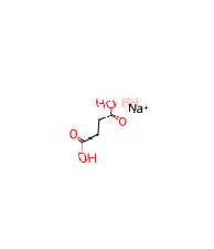 O=C(O)CCC(=O)O.[BH4-].[Na+]